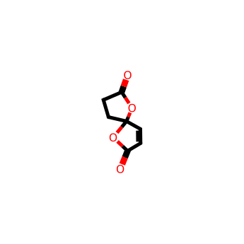 O=C1C=CC2(CCC(=O)O2)O1